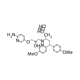 COc1ccc(C(CC(C)NC[C@H](O)COc2ccc(N)nc2)c2ccc(OC)cc2)cc1.Cl.Cl.Cl